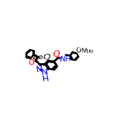 COc1cccc(CNC(=O)c2ccc3[nH]nc(-c4cc5ccccc5o4)c3c2OC)c1